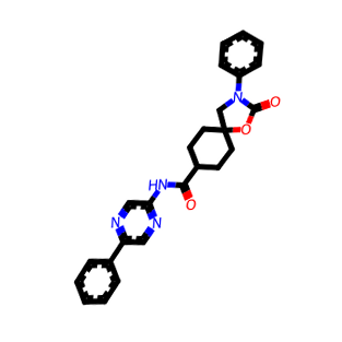 O=C(Nc1cnc(-c2ccccc2)cn1)C1CCC2(CC1)CN(c1ccccc1)C(=O)O2